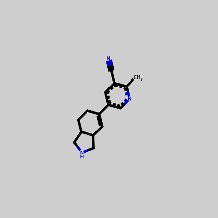 Cc1ncc(C2=CC3CNCC3CC2)cc1C#N